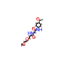 CC(=O)[C@H]1CC[C@@H](NC(=O)CNC(=O)CCOCCOI)CC1